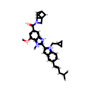 COc1cc(C(=O)N2CC34CC(CC23)C4)cc2nc(-c3cc4cc(/C=C/CC(C)C)ccc4n3CC3CC3)n(C)c12